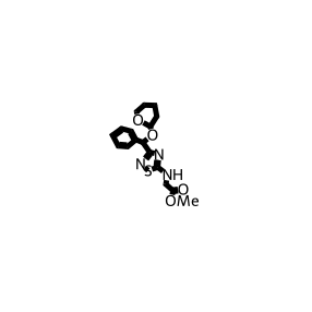 COC(=O)CNc1nc(C(OC2CCCCO2)c2ccccc2)ns1